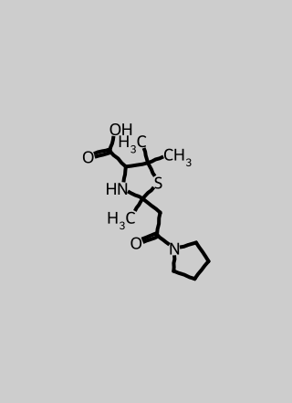 CC1(CC(=O)N2CCCC2)NC(C(=O)O)C(C)(C)S1